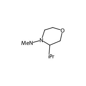 CNN1CCOCC1C(C)C